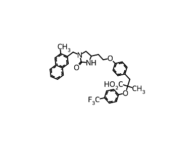 Cc1cc2ccccc2cc1CN1CC(CCOc2ccc(CC(C)(Oc3ccc(C(F)(F)F)cc3)C(=O)O)cc2)NC1=O